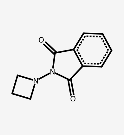 O=C1c2ccccc2C(=O)N1N1CCC1